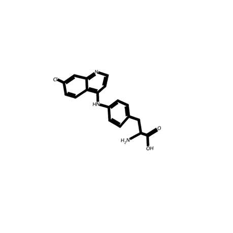 NC(Cc1ccc(Nc2ccnc3cc(Cl)ccc23)cc1)C(=O)O